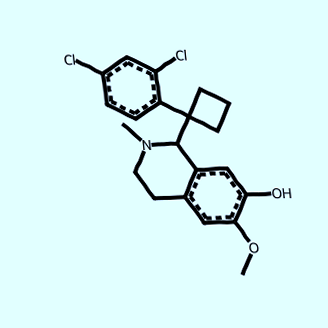 COc1cc2c(cc1O)C(C1(c3ccc(Cl)cc3Cl)CCC1)N(C)CC2